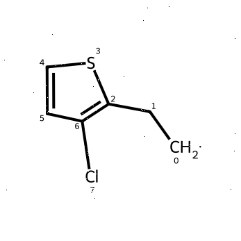 [CH2]Cc1sccc1Cl